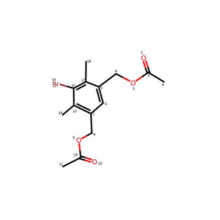 CC(=O)OCc1cc(COC(C)=O)c(C)c(Br)c1C